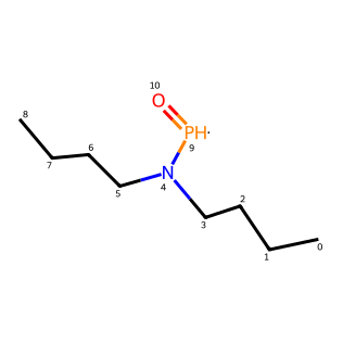 CCCCN(CCCC)[PH]=O